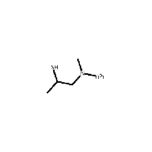 CCCN(C)CC(C)S